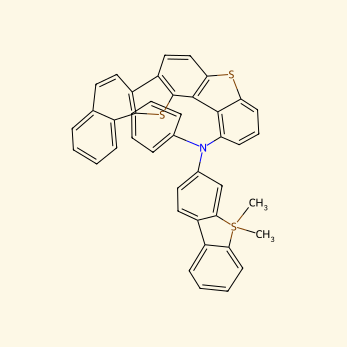 CS1(C)c2ccccc2-c2ccc(N(c3ccccc3)c3cccc4sc5ccc6c7ccc8ccccc8c7sc6c5c34)cc21